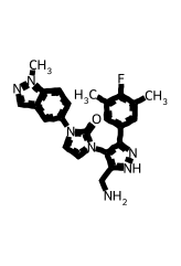 Cc1cc(-c2n[nH]c(CN)c2-n2ccn(-c3ccc4c(cnn4C)c3)c2=O)cc(C)c1F